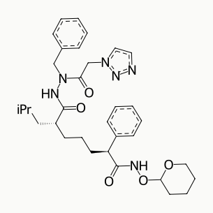 CC(C)C[C@@H](CCC[C@H](C(=O)NOC1CCCCO1)c1ccccc1)C(=O)NN(Cc1ccccc1)C(=O)Cn1ccnn1